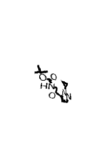 CC(C)(C)OC(=O)NCC(=O)c1ccnn1C1CC1